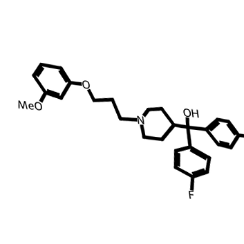 COc1cccc(OCCCN2CCC(C(O)(c3ccc(F)cc3)c3ccc(F)cc3)CC2)c1